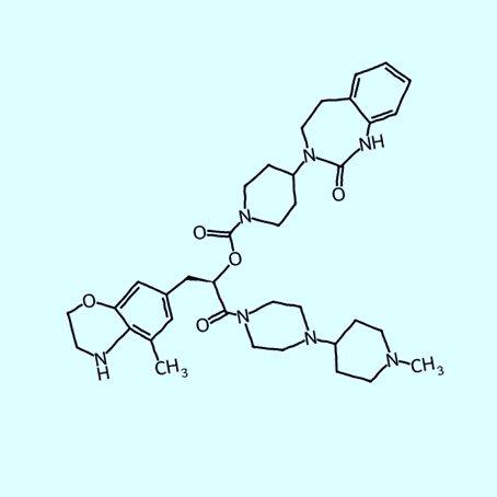 Cc1cc(C[C@@H](OC(=O)N2CCC(N3CCc4ccccc4NC3=O)CC2)C(=O)N2CCN(C3CCN(C)CC3)CC2)cc2c1NCCO2